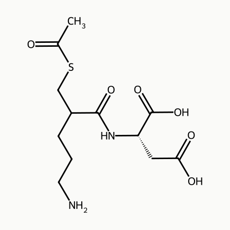 CC(=O)SCC(CCCN)C(=O)N[C@@H](CC(=O)O)C(=O)O